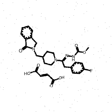 COC(=O)NN=C(Cc1ccc(F)cc1)N1CCC(CN2Cc3ccccc3C2=O)CC1.O=C(O)C=CC(=O)O